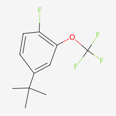 CC(C)(C)c1ccc(F)c(OC(F)(F)F)c1